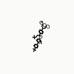 COC(=O)CC(CC=O)c1ccc(C(CCC(C)(C)C)Oc2ccc(-c3ccc(C(C)(C)C)cc3)nc2)cc1